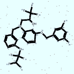 OC(CN(Cc1cccc(OC(F)(F)C(F)F)c1)c1cccc(OCc2cc(F)cc(F)c2)c1)C(F)(F)F